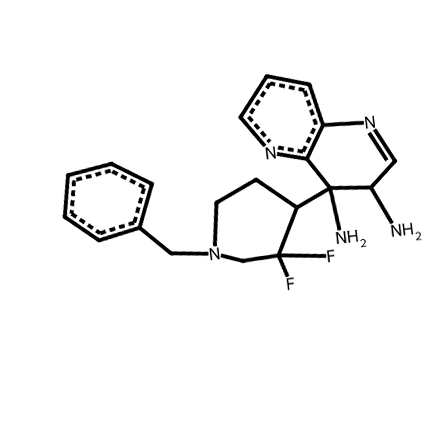 NC1C=Nc2cccnc2C1(N)C1CCN(Cc2ccccc2)CC1(F)F